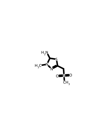 CN1N=C(CS(C)(=O)=O)SC1N